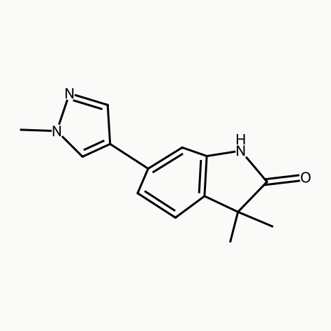 Cn1cc(-c2ccc3c(c2)NC(=O)C3(C)C)cn1